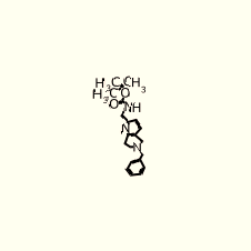 CC(C)(C)OC(=O)NCc1ccc2c(n1)CCN(Cc1ccccc1)C2